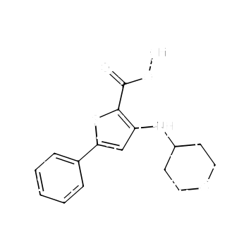 COC(=O)c1sc(-c2ccccc2)cc1NC1CCOCC1